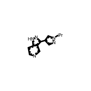 CC(C)n1cc(-c2n[nH]c3ccncc23)cn1